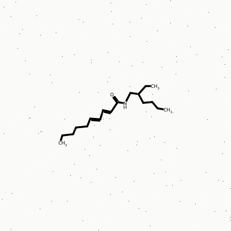 CCCCCC=CC=CC(=O)NCC(CC)CCCC